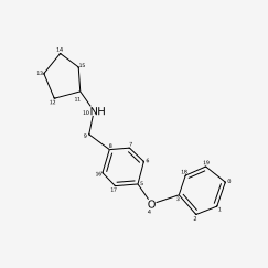 c1ccc(Oc2ccc(CNC3CCCC3)cc2)cc1